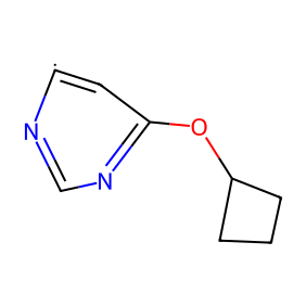 [c]1cc(OC2CCC2)ncn1